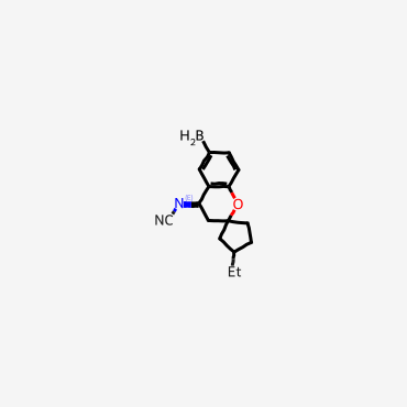 Bc1ccc2c(c1)/C(=N/C#N)CC1(CCC(CC)C1)O2